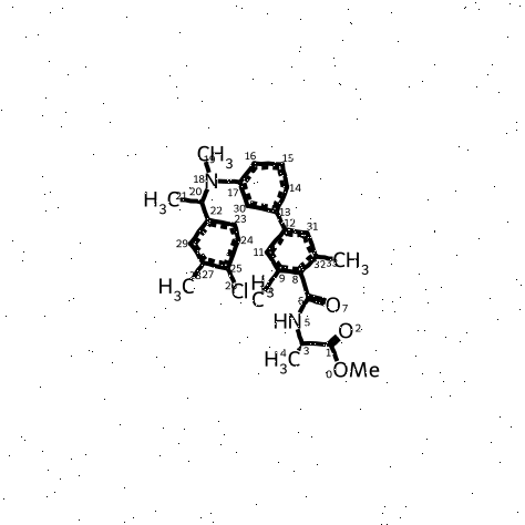 COC(=O)[C@H](C)NC(=O)c1c(C)cc(-c2cccc(N(C)C(C)c3ccc(Cl)c(C)c3)c2)cc1C